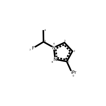 CC(C)c1ccn(C(C)F)n1